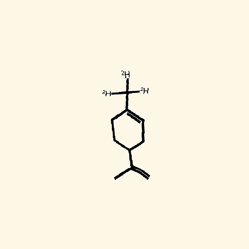 [2H]C([2H])([2H])C1=CCC(C(=C)C)CC1